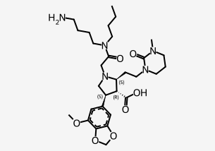 CCCCN(CCCCN)C(=O)CN1C[C@H](c2cc(OC)c3c(c2)OCO3)[C@@H](C(=O)O)[C@@H]1CCN1CCCN(C)C1=O